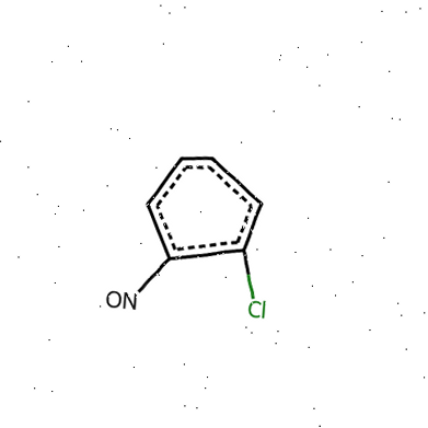 O=Nc1ccccc1Cl